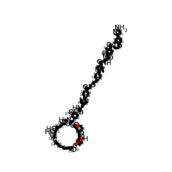 CO[C@H]1C[C@@H]2CC[C@@H](C)[C@@](O)(O2)C(=O)C(=O)N2CCCC[C@H]2C(=O)O[C@H]([C@H](N)C[C@@H]2CC[C@@H](OC(=O)NCc3cnc(N4CCN(C(=O)CCOCCN5CCN(c6ncc(C(=O)NCCS(=O)(=O)c7ccc(C(=O)N8CCOc9ccc(-c%10ccc(N)nc%10)cc9C8)c(C)c7F)cn6)CC5)CC4)nc3)[C@H](OC)C2)C[C@@H](OC)[C@H](C)/C=C(\C)[C@@H](O)[C@@H](O)C(=O)[C@H](C)C[C@H](C)/C=C/C=C/C=C/1C